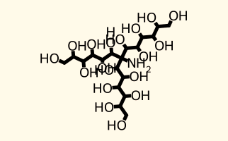 NC(C(O)C(O)C(O)C(O)C(O)CO)(C(O)C(O)C(O)C(O)C(O)CO)C(O)C(O)C(O)C(O)C(O)CO